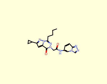 CCCCc1nn(CC(=O)Nc2ccc3nncn3c2)c(=O)c2cc(C3CC3)nn12